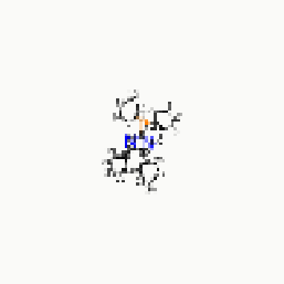 Cn1c(P(c2ccccc2)c2ccccc2)nc2c3ccccc3c3ccccc3c21